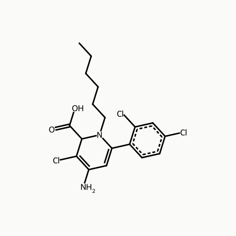 CCCCCCN1C(c2ccc(Cl)cc2Cl)=CC(N)=C(Cl)C1C(=O)O